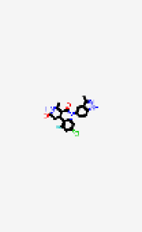 CC1=C(C(=O)Nc2ccc3[nH]nc(C)c3c2)C(c2ccc(Cl)cc2F)CC(=O)N1